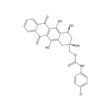 O=C(Nc1ccc(Cl)cc1)OC[C@]1(O)Cc2c(O)c3c(c(O)c2[C@@H](O)C1)C(=O)c1ccccc1C3=O